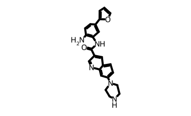 Nc1ccc(-c2ccco2)cc1NC(=O)c1cnc2cc(N3CCNCC3)ccc2c1